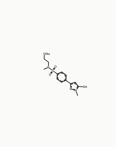 COCCN(C)S(=O)(=O)c1ccc(-c2cc(O)n(C)n2)cc1